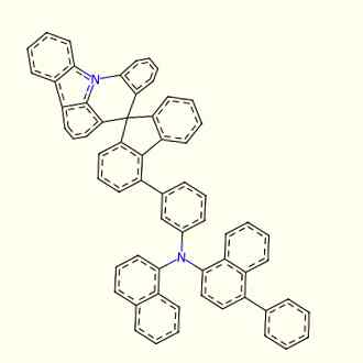 c1ccc(-c2ccc(N(c3cccc(-c4cccc5c4-c4ccccc4C54c5ccccc5-n5c6ccccc6c6cccc4c65)c3)c3cccc4ccccc34)c3ccccc23)cc1